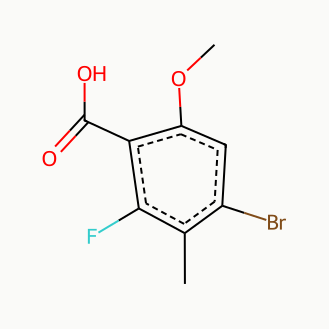 COc1cc(Br)c(C)c(F)c1C(=O)O